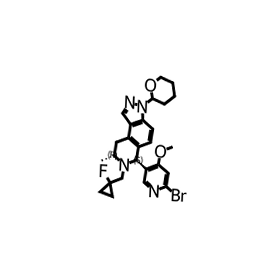 COc1cc(Br)ncc1[C@@H]1c2ccc3c(cnn3C3CCCCO3)c2C[C@@H](C)N1CC1(F)CC1